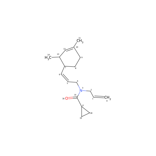 C=CCN(C/C=C\C1CCC(C)=CC1C)C(=O)C1CC1